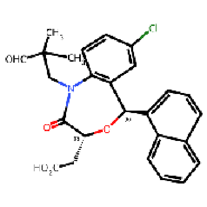 CC(C)(C=O)CN1C(=O)[C@@H](CC(=O)O)O[C@H](c2cccc3ccccc23)c2cc(Cl)ccc21